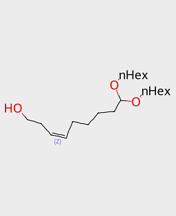 CCCCCCOC(CCCC/C=C\CCO)OCCCCCC